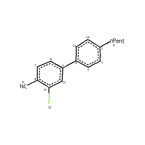 CCCCCc1ccc(-c2ccc(C#N)c(F)c2)cc1